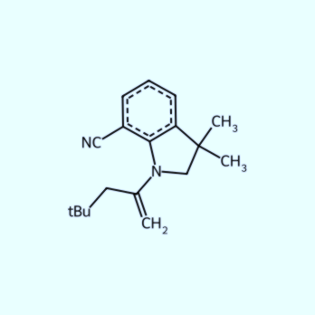 C=C(CC(C)(C)C)N1CC(C)(C)c2cccc(C#N)c21